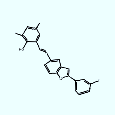 Oc1c(I)cc(I)cc1/C=N/c1ccc2oc(-c3cccc(F)c3)nc2c1